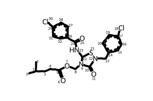 CC(C)CCC(=O)OCN1C(=O)N(Cc2ccc(Cl)cc2)SC1NC(=O)c1ccc(Cl)cc1